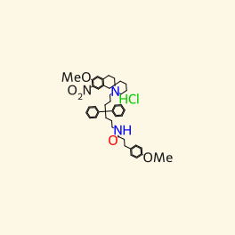 COc1ccc(CCC(=O)NCCCC(CCCN2CCCCC23CCc2cc(OC)c([N+](=O)[O-])cc2C3)(c2ccccc2)c2ccccc2)cc1.Cl